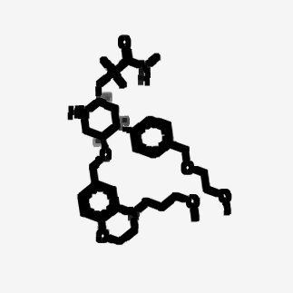 CNC(=O)C(C)(C)C[C@@H]1C[C@H](c2ccc(COCCOC)cc2)[C@@H](OCc2ccc3c(c2)N(CCCOC)CCO3)CN1